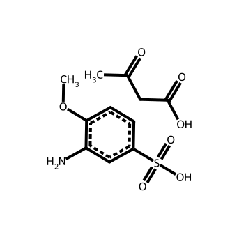 CC(=O)CC(=O)O.COc1ccc(S(=O)(=O)O)cc1N